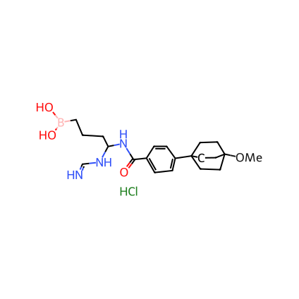 COC12CCC(c3ccc(C(=O)NC(CCCB(O)O)NC=N)cc3)(CC1)CC2.Cl